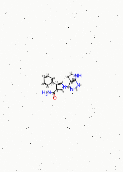 NC(=O)c1cn(-c2ncnc3c2CCN3)cc1-c1ccccc1